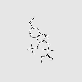 COC(=O)C(C)(C)Cc1[nH]c2cc(OC)ccc2c1SC(C)(C)C